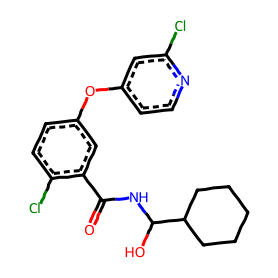 O=C(NC(O)C1CCCCC1)c1cc(Oc2ccnc(Cl)c2)ccc1Cl